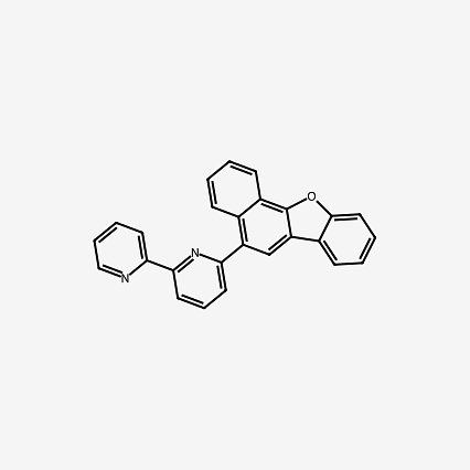 c1ccc(-c2cccc(-c3cc4c5ccccc5oc4c4ccccc34)n2)nc1